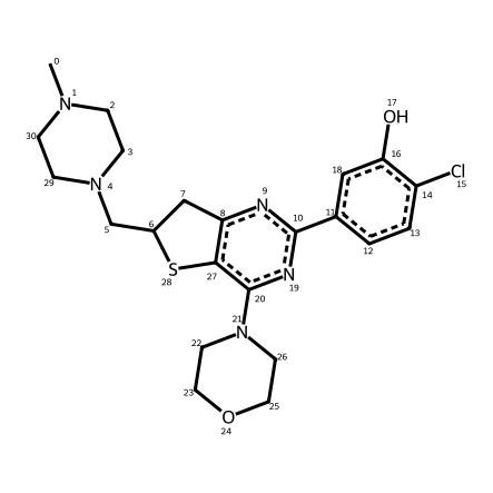 CN1CCN(CC2Cc3nc(-c4ccc(Cl)c(O)c4)nc(N4CCOCC4)c3S2)CC1